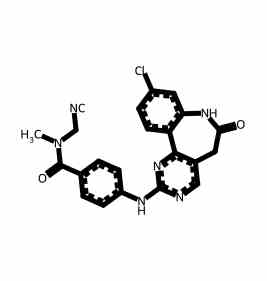 [C-]#[N+]CN(C)C(=O)c1ccc(Nc2ncc3c(n2)-c2ccc(Cl)cc2NC(=O)C3)cc1